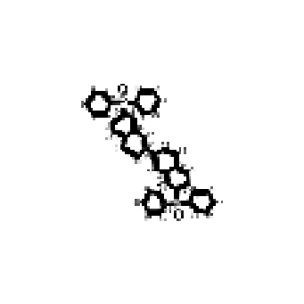 O=P(c1ccccc1)(c1ccccc1)c1ccc2ccc(-c3ccc4ccc(P(=O)(c5ccccc5)c5ccccc5)cc4c3)cc2c1